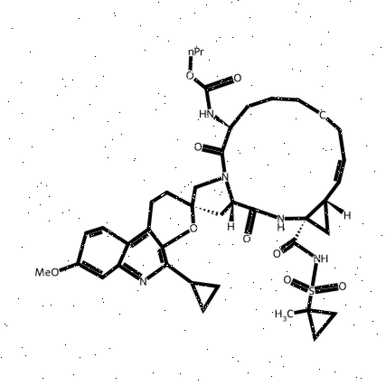 CCCOC(=O)N[C@H]1CCCCC/C=C\[C@@H]2C[C@@]2(C(=O)NS(=O)(=O)C2(C)CC2)NC(=O)[C@@H]2C[C@]3(CCc4c(c(C5CC5)nc5cc(OC)ccc45)O3)CN2C1=O